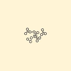 C1=CC(c2cc(-n3c4ccccc4c4ccc(-c5ccc6c(c5)c5ccccc5n6-c5ccccc5)cc43)nc(-n3c4ccccc4c4ccc(-c5ccc6c(c5)c5ccccc5n6-c5ccccc5)cc43)n2)CC(C2=C(c3ccccc3)C=CCC2)=C1